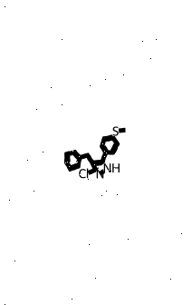 CSc1ccc(-c2[nH]nc(Cl)c2Cc2ccccc2)cc1